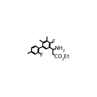 CCOC(=O)CC(N)c1cc(-c2ccc(C)cc2F)c(C)c(C)c1F